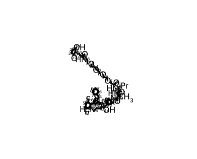 CC(C)[C@H](NC(=O)CCOCCOCCOCCOCCNC(=O)CCN1C(=O)C=CC1O)C(=O)N[C@@H](C)C(=O)Nc1ccc(C(O)N(CCCN)[C@@H](c2cc(-c3cc(F)ccc3F)cn2Cc2ccccc2)C(C)(C)C)cc1